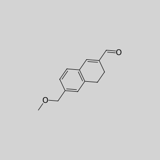 COCc1ccc2c(c1)CCC(C=O)=C2